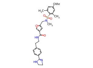 COc1cc(C)c(S(=O)(=O)N(C)Cc2cc(C(=O)NCCc3ccc(C4=NCCN4)cc3)co2)c(C)c1